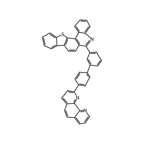 c1cc(-c2ccc(-c3ccc4ccc5cccnc5c4n3)cc2)cc(-c2nc3ccccc3c3c2ccc2c4ccccc4sc23)c1